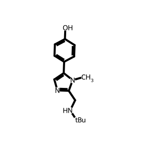 Cn1c(-c2ccc(O)cc2)cnc1CNC(C)(C)C